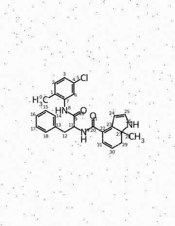 Cc1ccc(Cl)cc1NC(=O)C(Cc1ccccc1)NC(=O)C1=C2C=CNC2(C)CC=C1